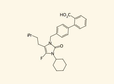 CC(C)CCc1c(F)n(C2CCCCC2)c(=O)n1Cc1ccc(-c2ccccc2C(=O)O)cc1